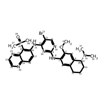 COc1cc2c(cc1Nc1ncc(Br)c(Nc3ccc4nccnc4c3P(C)(C)=O)n1)CCC[C@H]2N(C)C